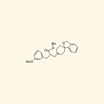 COc1cccc(CC(CN2CCC3(CC2)OCc2ccccc23)C(=O)OC(C)(C)C)c1